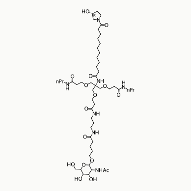 CCCNC(=O)CCOCC(COCCC(=O)NCCC)(COCCC(=O)NCCCNC(=O)CCCCOC1OC(CO)C(O)C(O)C1NC(C)=O)NC(=O)CCCCCCCCCCC(=O)N1CC[C@@H](O)C1